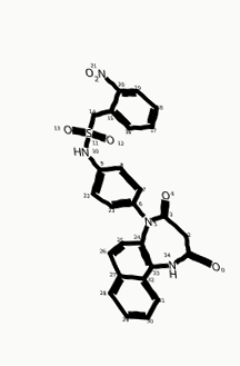 O=C1CC(=O)N(c2ccc(NS(=O)(=O)Cc3ccccc3[N+](=O)[O-])cc2)c2ccc3ccccc3c2N1